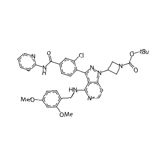 COc1ccc(CNc2nccc3c2c(-c2ccc(C(=O)Nc4ccccn4)cc2Cl)nn3C2CN(C(=O)OC(C)(C)C)C2)c(OC)c1